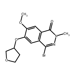 COc1cc2c(=O)n(C)nc(Br)c2cc1OC1CCOC1